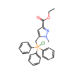 CCOC(=O)c1cc(CP(Cl)(c2ccccc2)(c2ccccc2)c2ccccc2)n(C)n1